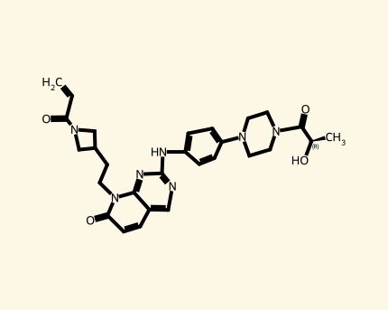 C=CC(=O)N1CC(CCn2c(=O)ccc3cnc(Nc4ccc(N5CCN(C(=O)[C@@H](C)O)CC5)cc4)nc32)C1